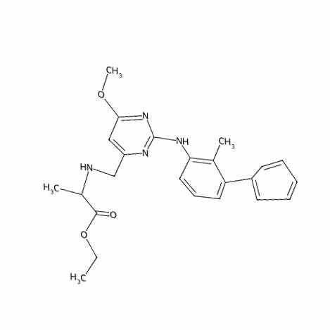 CCOC(=O)C(C)NCc1cc(OC)nc(Nc2cccc(-c3ccccc3)c2C)n1